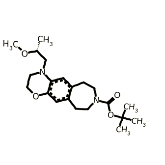 CO[C@H](C)CN1CCOc2cc3c(cc21)CCN(C(=O)OC(C)(C)C)CC3